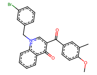 COc1ccc(C(=O)c2cn(Cc3cccc(Br)c3)c3ccccc3c2=O)cc1C